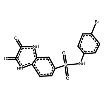 O=c1[nH]c2ccc(S(=O)(=O)Nc3ccc(Br)cc3)cc2[nH]c1=O